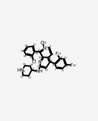 [O-][n+]1ccc2c(-c3ccc(F)cc3F)cc(NC3CCNCC3)nc2c1-c1ccccc1Cl